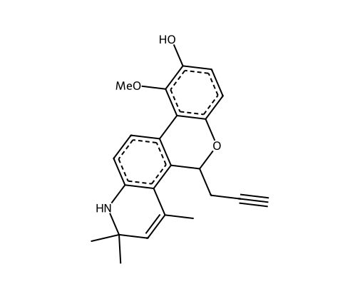 C#CCC1Oc2ccc(O)c(OC)c2-c2ccc3c(c21)C(C)=CC(C)(C)N3